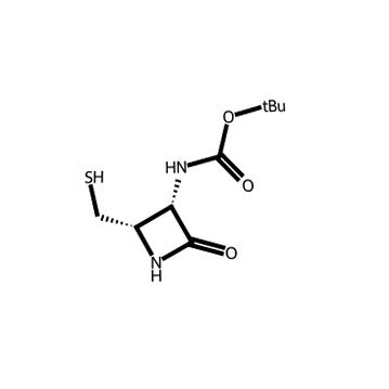 CC(C)(C)OC(=O)N[C@@H]1C(=O)N[C@@H]1CS